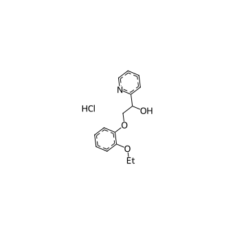 CCOc1ccccc1OCC(O)c1ccccn1.Cl